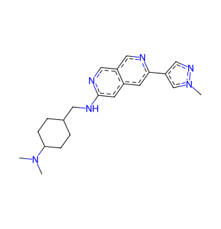 CN(C)C1CCC(CNc2cc3cc(-c4cnn(C)c4)ncc3cn2)CC1